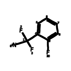 [N]C(F)(F)c1ccccc1F